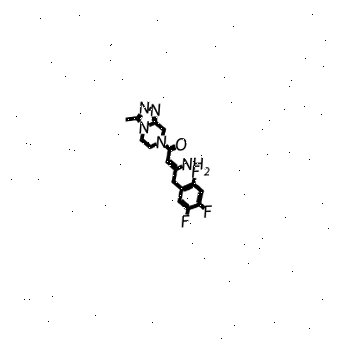 Cc1nnc2n1CCN(C(=O)/C=C(\N)Cc1cc(F)c(F)cc1F)C2